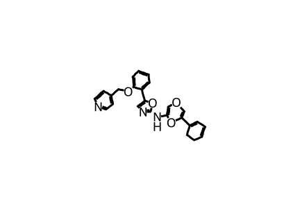 C1=CCCC(C2=COC=C(Nc3ncc(-c4ccccc4OCc4ccncc4)o3)O2)=C1